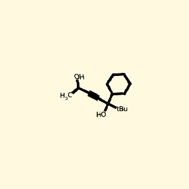 CC(O)C#CC(O)(C1CCCCC1)C(C)(C)C